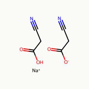 N#CCC(=O)O.N#CCC(=O)[O-].[Na+]